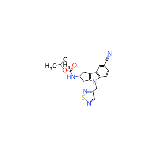 CC(C)OC(=O)NC1Cc2c(n(Cc3cnsn3)c3ccc(C#N)cc23)C1